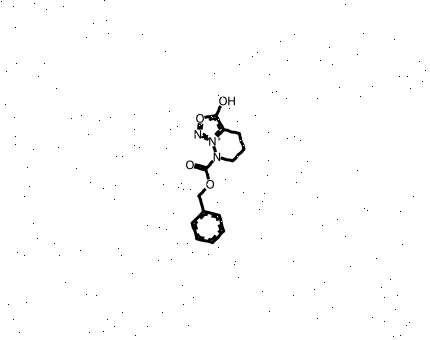 O=C(OCc1ccccc1)N1CCCc2c(O)on[n+]21